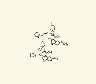 COc1ccc2ncc(Cl)c([C@H](O)CCC3([C@@H](O)CCCCc4ccccn4)CCNCC3)c2c1.COc1ccc2ncc(Cl)c([C@H](O)CCC3([C@@H](O)CCCc4ccccn4)CCNCC3)c2c1